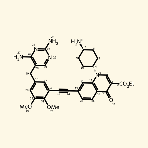 CCOC(=O)c1cn([C@H]2CC[C@H](N)CC2)c2cc(C#Cc3cc(Cc4cnc(N)nc4N)cc(OC)c3OC)ccc2c1=O